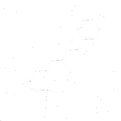 CC1(C)CC(N(F)C(=O)OCc2ccccc2)CC(C)(C)N1